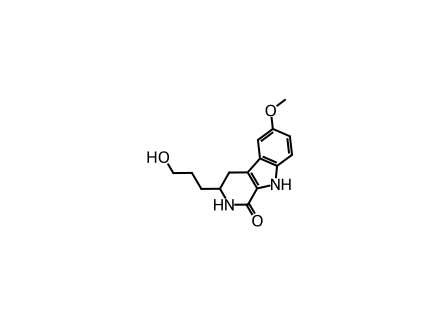 COc1ccc2[nH]c3c(c2c1)CC(CCCO)NC3=O